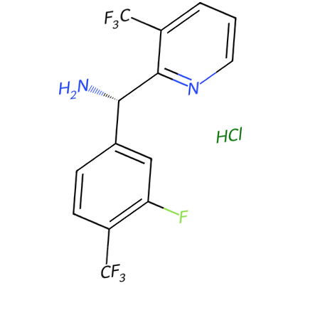 Cl.N[C@@H](c1ccc(C(F)(F)F)c(F)c1)c1ncccc1C(F)(F)F